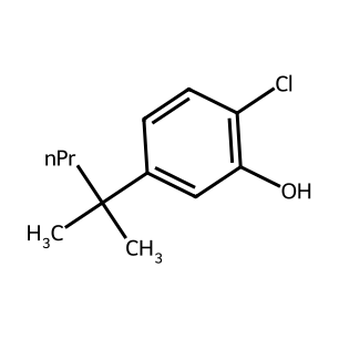 CCCC(C)(C)c1ccc(Cl)c(O)c1